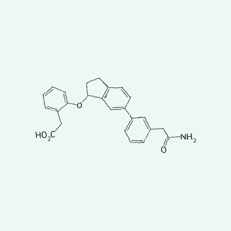 NC(=O)Cc1cccc(-c2ccc3c(c2)C(Oc2ccccc2CC(=O)O)CC3)c1